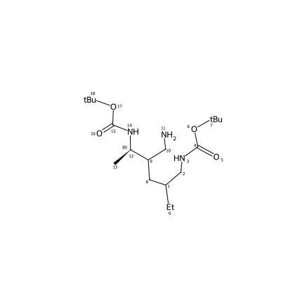 CCC(CNC(=O)OC(C)(C)C)CC(CN)[C@@H](C)NC(=O)OC(C)(C)C